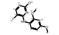 COc1ccc(Nc2nc(Cl)ncc2F)c(OC)n1